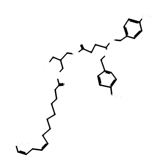 CCCCC/C=C\C/C=C\CCCCCCCC(=O)OCC(CO)COC(=O)CCC(OCc1ccc(CCCC)cc1)OCc1ccc(CCCC)cc1